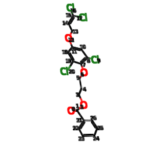 O=C(OCCCOc1c(Cl)cc(OCC=C(Cl)Cl)cc1Cl)c1ccccc1